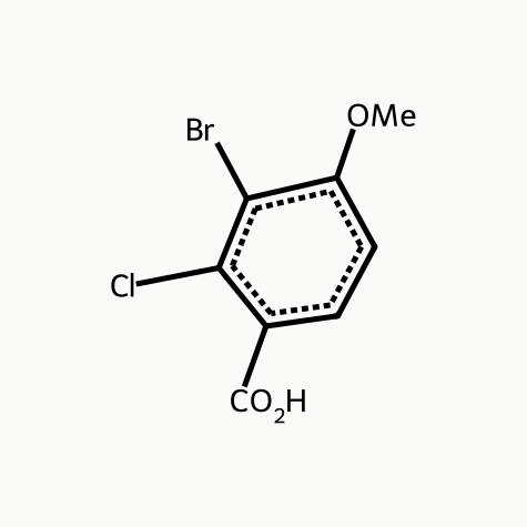 COc1ccc(C(=O)O)c(Cl)c1Br